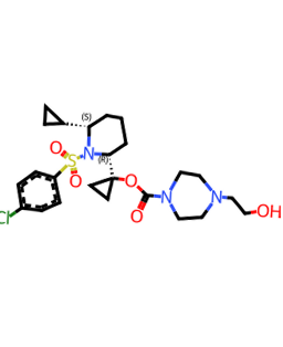 O=C(OC1([C@H]2CCC[C@@H](C3CC3)N2S(=O)(=O)c2ccc(Cl)cc2)CC1)N1CCN(CCO)CC1